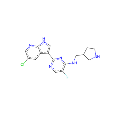 Fc1cnc(-c2c[nH]c3ncc(Cl)cc23)nc1NCC1CCNC1